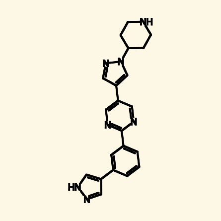 c1cc(-c2cn[nH]c2)cc(-c2ncc(-c3cnn(C4CCNCC4)c3)cn2)c1